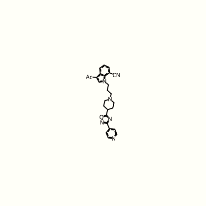 CC(=O)c1cn(CCCN2CCC(c3nc(-c4ccncc4)no3)CC2)c2c(C#N)cccc12